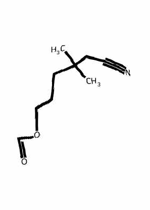 CC(C)(CC#N)CCCOC=O